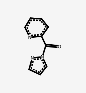 O=C(c1ccccn1)n1cccn1